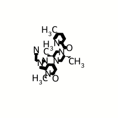 CC[C@@H]1CN(c2cc(=O)n(C)c3cn(CC#N)nc23)[C@@H](CC)CN1C(=O)c1ccc(C)cn1